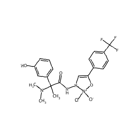 CN(C)C(C)(C(=O)NN1C=C(c2ccc(C(F)(F)F)cc2)O[N+]1([O-])Cl)c1cccc(O)c1